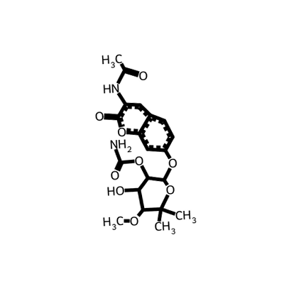 COC1C(O)C(OC(N)=O)C(Oc2ccc3cc(NC(C)=O)c(=O)oc3c2)OC1(C)C